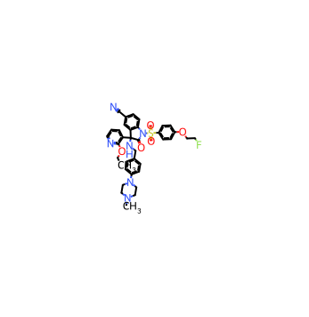 CCOc1ncccc1C1(NCc2ccc(N3CCN(C)CC3)cc2)C(=O)N(S(=O)(=O)c2ccc(OCCF)cc2)c2ccc(C#N)cc21